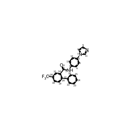 O=C(Nc1ccc(-n2ccnc2)cc1)c1cc(C(F)(F)F)ccc1-c1ccccc1